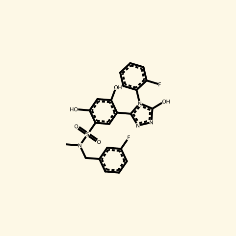 CN(Cc1cccc(F)c1)S(=O)(=O)c1cc(-c2nnc(O)n2-c2ccccc2F)c(O)cc1O